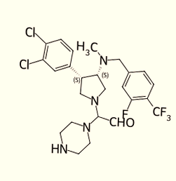 CN(Cc1ccc(C(F)(F)F)c(F)c1)[C@@H]1CN(C(C=O)N2CCNCC2)C[C@@H]1c1ccc(Cl)c(Cl)c1